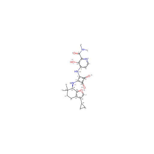 CN(C)C(=O)c1nccc(Nc2c(N[C@H]3c4occ(C5CC5)c4CCC3(C)C)c(=O)c2=O)c1O